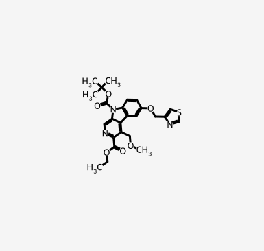 CCOC(=O)c1ncc2c(c1COC)c1cc(OCc3cscn3)ccc1n2C(=O)OC(C)(C)C